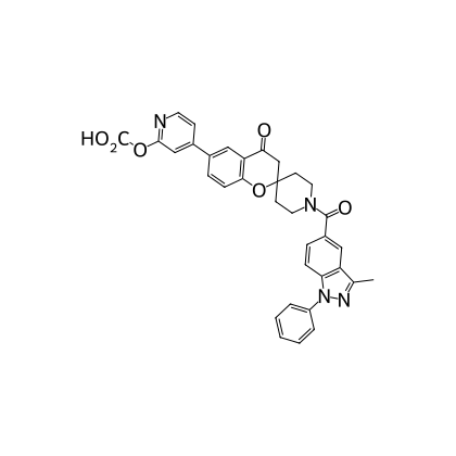 Cc1nn(-c2ccccc2)c2ccc(C(=O)N3CCC4(CC3)CC(=O)c3cc(-c5ccnc(OC(=O)O)c5)ccc3O4)cc12